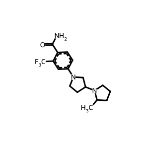 CC1CCCN1C1CCN(c2ccc(C(N)=O)c(C(F)(F)F)c2)C1